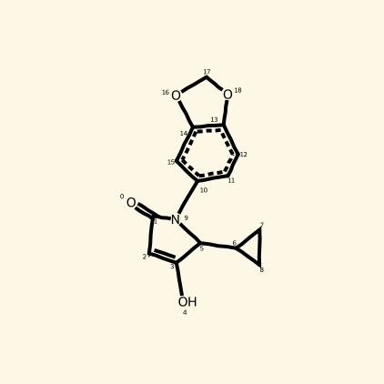 O=C1[C]=C(O)C(C2CC2)N1c1ccc2c(c1)OCO2